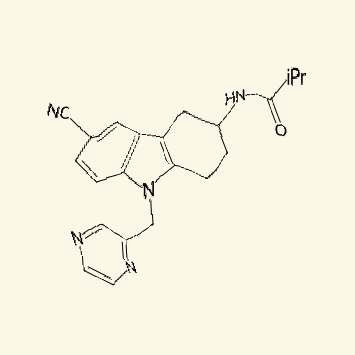 CC(C)C(=O)NC1CCc2c(c3cc(C#N)ccc3n2Cc2cnccn2)C1